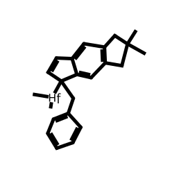 [CH3][Hf]([CH3])[C]1(Cc2ccccc2)C=Cc2cc3c(cc21)CC(C)(C)C3